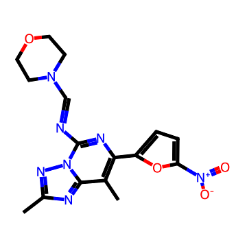 Cc1nc2c(C)c(-c3ccc([N+](=O)[O-])o3)nc(N=CN3CCOCC3)n2n1